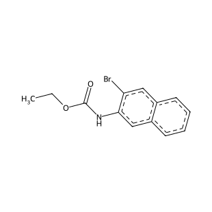 CCOC(=O)Nc1cc2ccccc2cc1Br